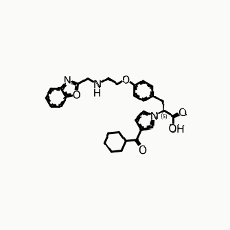 O=C(c1ccn([C@@H](Cc2ccc(OCCNCc3nc4ccccc4o3)cc2)C(=O)O)c1)C1CCCCC1